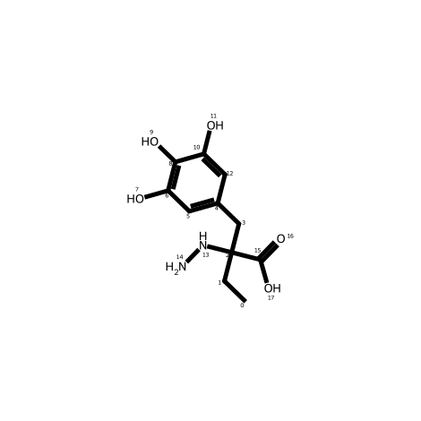 CCC(Cc1cc(O)c(O)c(O)c1)(NN)C(=O)O